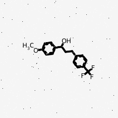 COc1ccc(C(O)CCc2ccc(C(F)(F)F)cc2)cc1